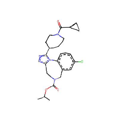 CC(C)OC(=O)N1Cc2cc(Cl)ccc2-n2c(nnc2C2CCN(C(=O)C3CC3)CC2)C1